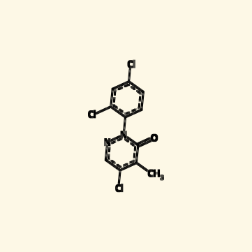 Cc1c(Cl)cnn(-c2ccc(Cl)cc2Cl)c1=O